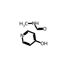 CNC=O.Oc1ccncc1